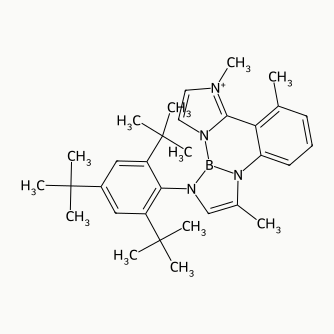 CC1=CN(c2c(C(C)(C)C)cc(C(C)(C)C)cc2C(C)(C)C)B2N1c1cccc(C)c1-c1n2cc[n+]1C